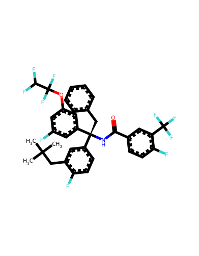 CC(C)(C)Cc1cc([C@@](Cc2ccccc2)(NC(=O)c2ccc(F)c(C(F)(F)F)c2)c2cc(F)cc(OC(F)(F)C(F)F)c2)ccc1F